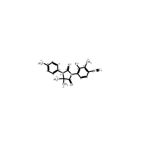 [C-]#[N+]c1ccc(N2C(=O)C(C)(C)N(c3ccc(C)cc3)C2=S)c(F)c1C